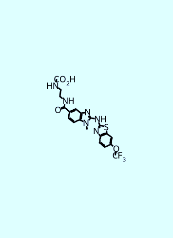 Cn1c(Nc2nc3ccc(OC(F)(F)F)cc3s2)nc2cc(C(=O)NCCNC(=O)O)ccc21